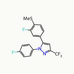 CSc1ccc(-c2cc(C(F)(F)F)nn2-c2ccc(F)cc2)cc1F